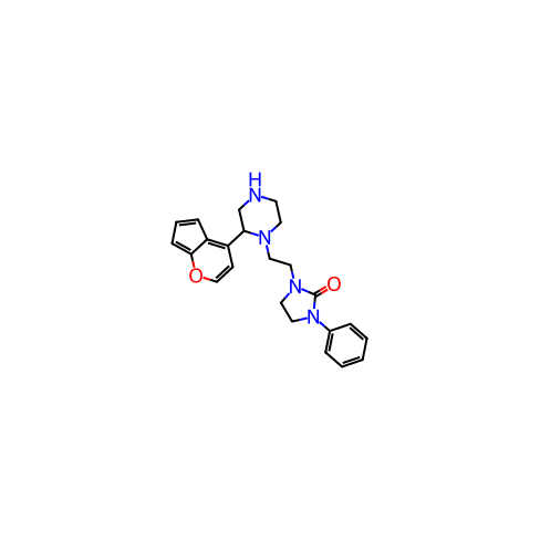 O=C1N(CCN2CCNCC2c2ccoc3cccc2-3)CCN1c1ccccc1